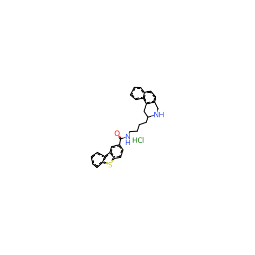 Cl.O=C(NCCCCC1Cc2c(ccc3ccccc23)CN1)c1ccc2sc3ccccc3c2c1